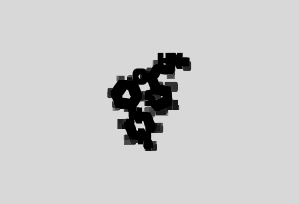 CNCCC(Oc1cccc(N2CCN(C)CC2)c1)c1cccs1